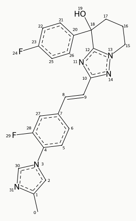 Cc1cn(-c2ccc(C=Cc3nc4n(n3)CCCC4(O)c3ccc(F)cc3)cc2F)cn1